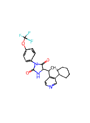 CC(c1ccncc1C1CCCCC1)C1NC(=O)N(c2ccc(OC(F)(F)F)cc2)C1=O